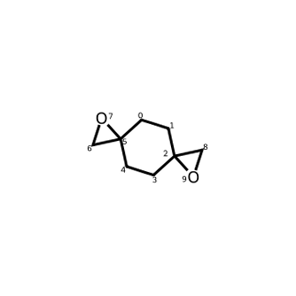 C1CC2(CCC13CO3)CO2